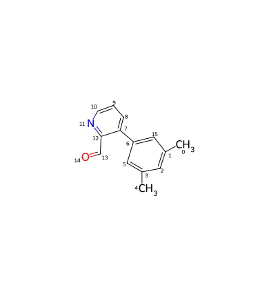 Cc1cc(C)cc(-c2cccnc2C=O)c1